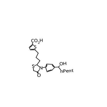 CCCCCC(O)c1ccc(N2C(=O)CSC2CCCc2ccc(C(=O)O)s2)cc1